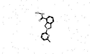 Cc1cccc(N2Cc3cccc(C(=O)NO)c3C2)n1